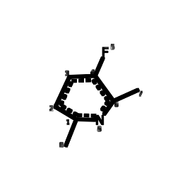 Cc1ccc(F)c(C)n1